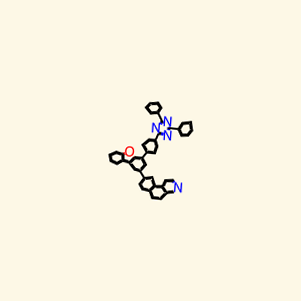 c1ccc(-c2nc(-c3ccccc3)nc(-c3ccc(-c4cc(-c5ccc6ccc7cnccc7c6c5)cc5c4oc4ccccc45)cc3)n2)cc1